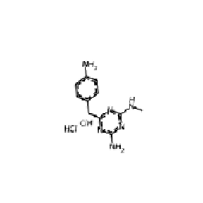 CNc1nc(N)nc(Cc2ccc(N)cc2)n1.Cl.Cl